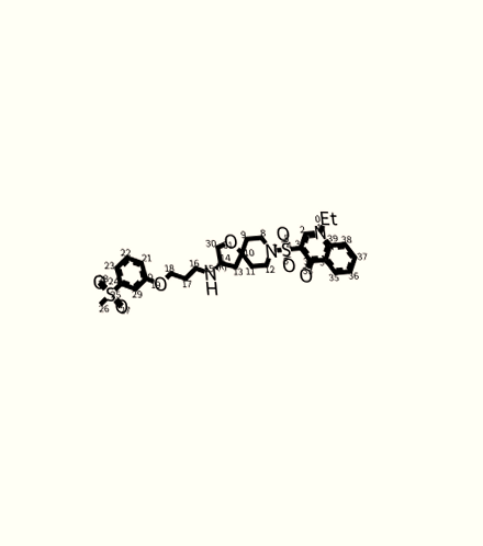 CCn1cc(S(=O)(=O)N2CCC3(CC2)C[C@@H](NCCCOc2cccc(S(C)(=O)=O)c2)CO3)c(=O)c2ccccc21